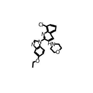 C1COCCN1.CCOc1ccc2c(c1)ncn2-c1ccc2cccc(Cl)c2n1